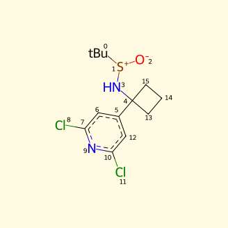 CC(C)(C)[S+]([O-])NC1(c2cc(Cl)nc(Cl)c2)CCC1